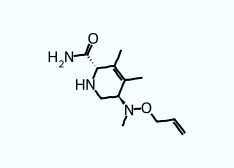 C=CCON(C)[C@H]1CN[C@H](C(N)=O)C(C)=C1C